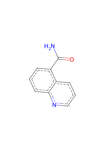 NC(=O)c1cccc2n[c]ccc12